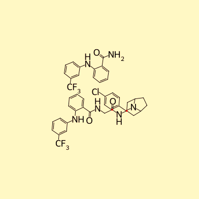 NC(=O)c1ccccc1Nc1cccc(C(F)(F)F)c1.O=C(CNC(=O)c1ccccc1Nc1cccc(C(F)(F)F)c1)NC1CC2CCC(C1)N2Cc1ccc(Cl)cc1